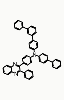 c1ccc(-c2ccc(N(c3ccc(-c4cccc(-c5ccccc5)c4)cc3)c3ccc(-c4nc5ccccc5nc4-c4ccccc4)cc3)cc2)cc1